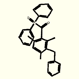 Cc1cc(C)c(C(=O)P(=O)(c2ccccc2)c2ccccc2)c(C)c1Cc1ccccc1